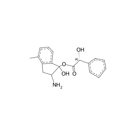 Cc1cccc2c1CC(N)C2(O)OC(=O)[C@H](O)c1ccccc1